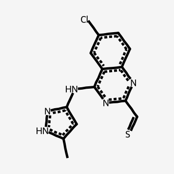 Cc1cc(Nc2nc(C=S)nc3ccc(Cl)cc23)n[nH]1